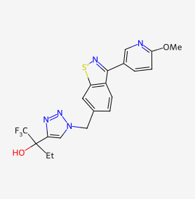 CCC(O)(c1cn(Cc2ccc3c(-c4ccc(OC)nc4)nsc3c2)nn1)C(F)(F)F